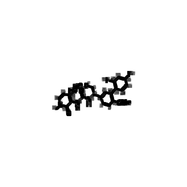 COc1ccc([C@H](CC(=O)O)NC(=O)Nc2c(O)ccn(C)c2=O)cc1-c1ccc(F)cc1F